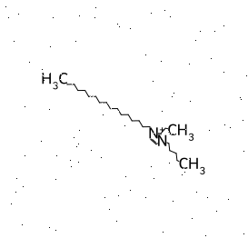 CCCCCCCCCCCCCCCCC[n+]1ccn(CCCCC)c1CC